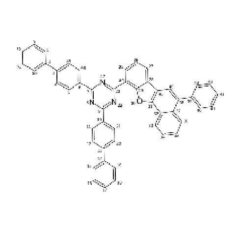 C1=CC(c2ccc(-c3nc(-c4ccc(-c5ccccc5)cc4)nc(-c4cccc5c4oc4c6ccccc6c(-c6ccccc6)cc54)n3)cc2)=CCC1